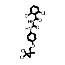 CC1(COc2ccc(NC(=O)NC(=O)c3c(Cl)cccc3Cl)cc2)CC1(Cl)Cl